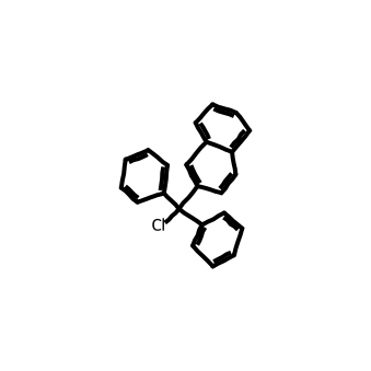 ClC(c1ccccc1)(c1ccccc1)c1ccc2ccccc2c1